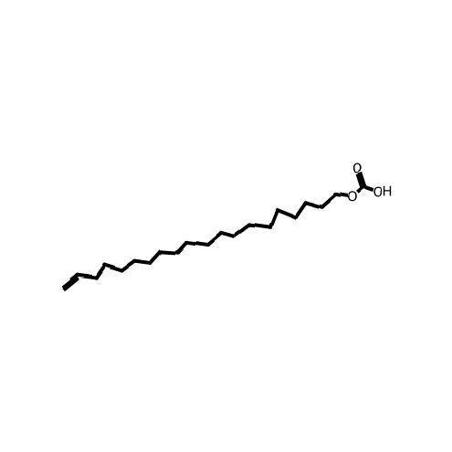 C=CCCCCCCCCCCCCCCCCCCOC(=O)O